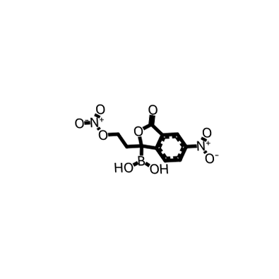 O=C1OC(CCO[N+](=O)[O-])(B(O)O)c2ccc([N+](=O)[O-])cc21